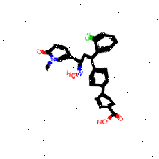 Cn1cc(C(CC(c2ccc(-c3ccc(C(=O)O)cc3)cc2)c2ccccc2Cl)=NO)ccc1=O